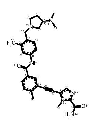 Cc1ccc(C(=O)Nc2ccc(CN3CC[C@@H](N(C)C)C3)c(C(F)(F)F)c2)cc1C#Cc1cnc(C(N)=O)n1C